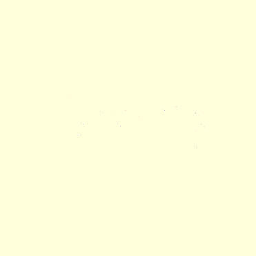 O=C(c1nnc(N2CCCCC2)o1)N1CCC(O)(Cn2cnc3c(cnn3-c3ccc(F)cc3)c2=O)CC1